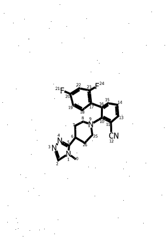 Cn1cnnc1C1CCN(c2c(C#N)cccc2-c2ccc(F)cc2F)CC1